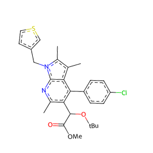 COC(=O)C(OC(C)(C)C)c1c(C)nc2c(c(C)c(C)n2Cc2ccsc2)c1-c1ccc(Cl)cc1